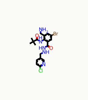 CC(C)(C)C(=O)Nc1c(CN)cc(Br)cc1C(=O)NNCc1ccc(Cl)nc1